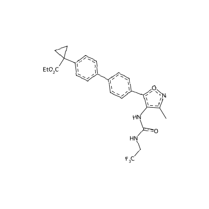 CCOC(=O)C1(c2ccc(-c3ccc(-c4onc(C)c4NC(=O)NCC(F)(F)F)cc3)cc2)CC1